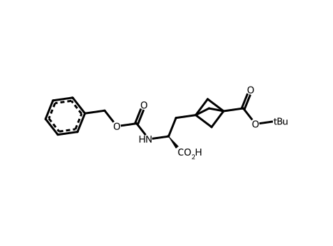 CC(C)(C)OC(=O)C12CC(C[C@H](NC(=O)OCc3ccccc3)C(=O)O)(C1)C2